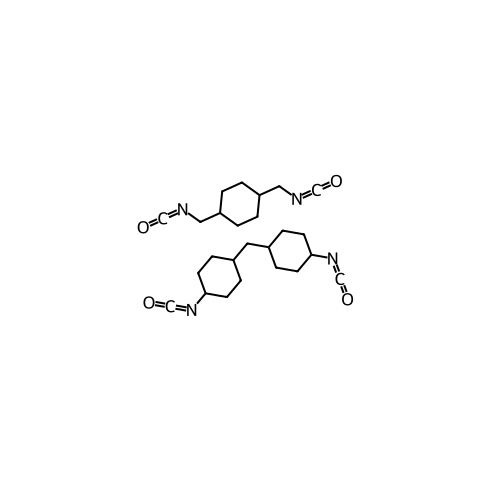 O=C=NC1CCC(CC2CCC(N=C=O)CC2)CC1.O=C=NCC1CCC(CN=C=O)CC1